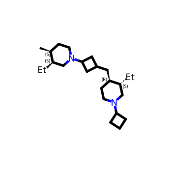 CC[C@@H]1CN(C2CCC2)CC[C@H]1CC1CC(N2CC[C@H](C)[C@H](CC)C2)C1